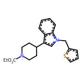 CCOC(=O)N1CCC(c2cn(Cc3cccs3)c3ccccc23)CC1